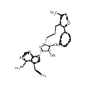 C=Cc1cn([C@@H]2O[C@H](CSCc3c(C)noc3-c3ccccc3)[C@@H](O)[C@H]2O)c2ncnc(N)c12